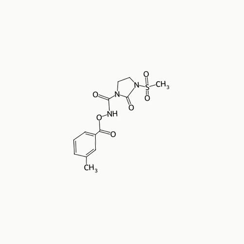 Cc1cccc(C(=O)ONC(=O)N2CCN(S(C)(=O)=O)C2=O)c1